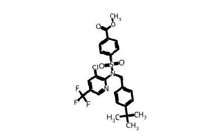 COC(=O)c1ccc(S(=O)(=O)N(Cc2ccc(C(C)(C)C)cc2)c2ncc(C(F)(F)F)cc2Cl)cc1